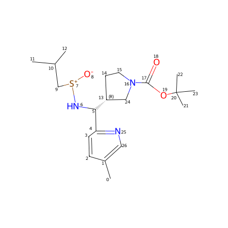 Cc1ccc(C(N[S+]([O-])CC(C)C)[C@@H]2CCN(C(=O)OC(C)(C)C)C2)nc1